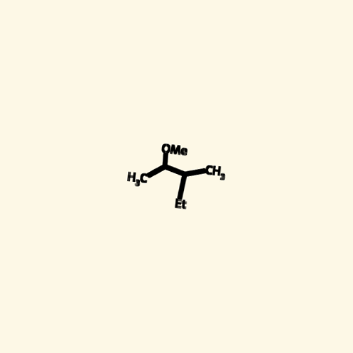 [CH2]OC(C)C(C)CC